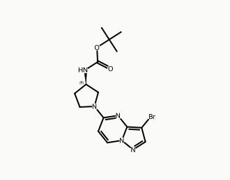 CC(C)(C)OC(=O)N[C@@H]1CCN(c2ccn3ncc(Br)c3n2)C1